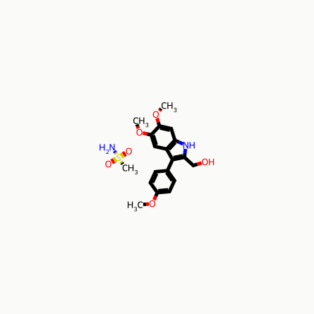 COc1ccc(-c2c(CO)[nH]c3cc(OC)c(OC)cc23)cc1.CS(N)(=O)=O